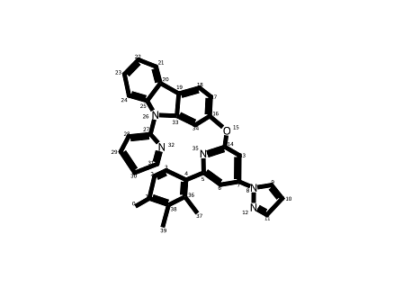 Cc1ccc(-c2cc(-n3cccn3)cc(Oc3ccc4c5ccccc5n(-c5ccccn5)c4c3)n2)c(C)c1C